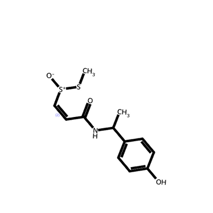 CS[S+]([O-])/C=C\C(=O)NC(C)c1ccc(O)cc1